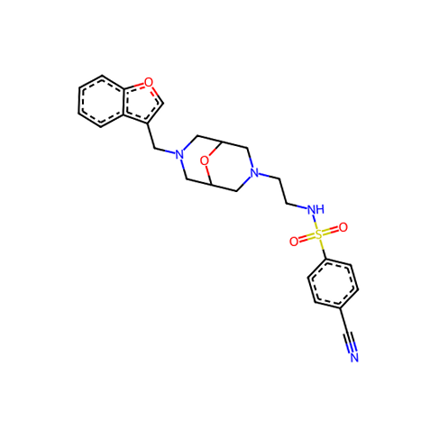 N#Cc1ccc(S(=O)(=O)NCCN2CC3CN(Cc4coc5ccccc45)CC(C2)O3)cc1